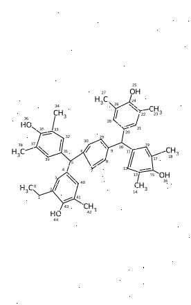 CCc1cc(C(c2ccc(C(c3cc(C)c(O)c(C)c3)c3cc(C)c(O)c(C)c3)cc2)c2cc(C)c(O)c(C)c2)cc(C)c1O